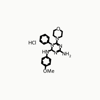 COc1ccc(NC2N=C(N)N=C(N3CCOCC3)N2c2ccccc2)cc1.Cl